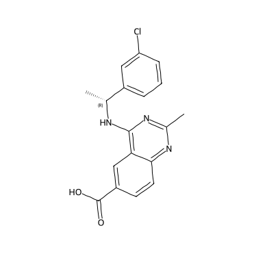 Cc1nc(N[C@H](C)c2cccc(Cl)c2)c2cc(C(=O)O)ccc2n1